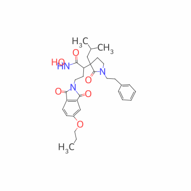 CCCOc1ccc2c(c1)C(=O)N(CCC(C(=O)NO)C1(CC(C)C)CCN(CCc3ccccc3)C1=O)C2=O